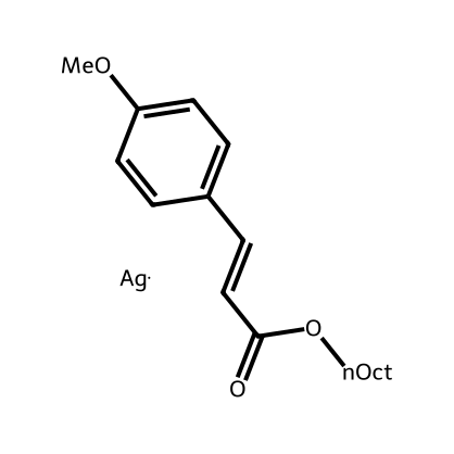 CCCCCCCCOC(=O)C=Cc1ccc(OC)cc1.[Ag]